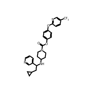 O=C(Oc1ccc(Oc2ccc(C(F)(F)F)cn2)cc1)N1CCC(NC(CC2CC2)c2cccnc2)CC1